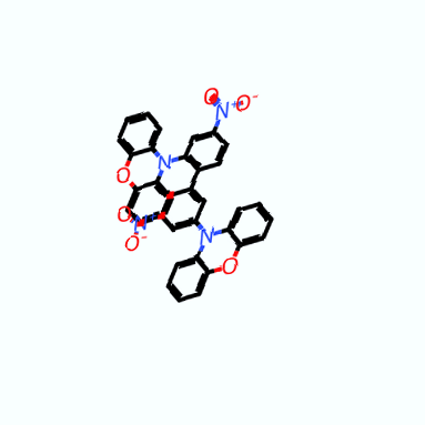 O=[N+]([O-])c1cc(-c2ccc([N+](=O)[O-])cc2N2c3ccccc3Oc3ccccc32)cc(N2c3ccccc3Oc3ccccc32)c1